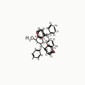 CC1CC(P(c2ccccc2)c2ccccc2)C(c2c(P(c3ccccc3)c3ccccc3)ccc3c2OCO3)C2=C1OCO2